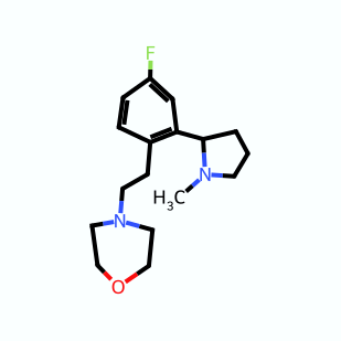 CN1CCCC1c1cc(F)ccc1CCN1CCOCC1